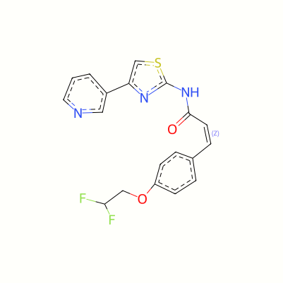 O=C(/C=C\c1ccc(OCC(F)F)cc1)Nc1nc(-c2cccnc2)cs1